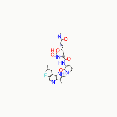 Cc1c(Cn2cccc(NC(=O)[C@H](CC/C=C/C(=O)N(C)C)NC(=O)O)c2=O)[nH]c2c(CC(C)C)c(F)cnc12